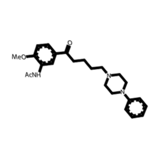 COc1ccc(C(=O)CCCCN2CCN(c3ccccc3)CC2)cc1NC(C)=O